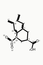 C=C/C=C1/C[C@@H](C(=O)O)CN([SH](=O)=O)/C1=C/C=C